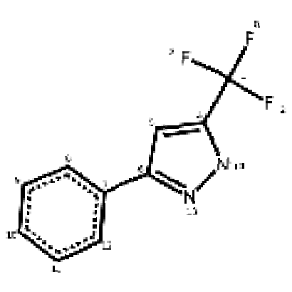 FC(F)(F)C1=CC(c2ccccc2)=N[N]1